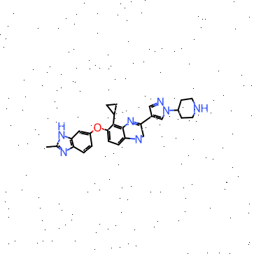 Cc1nc2ccc(Oc3ccc4ncc(-c5cnn(C6CCNCC6)c5)nc4c3C3CC3)cc2[nH]1